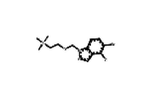 C[Si](C)(C)CCOCn1ncc2c(Cl)c(Br)ccc21